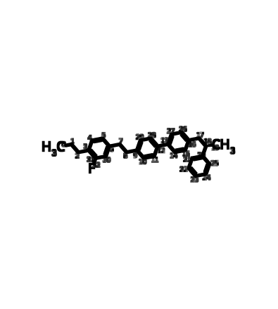 CCCc1ccc(CCc2ccc(-c3ccc(C[C@@H](C)c4ccccc4)cc3)cc2)cc1F